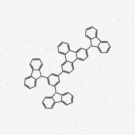 c1ccc2c(c1)c1cc(-c3cc(-n4c5ccccc5c5ccccc54)cc(-n4c5ccccc5c5ccccc54)c3)ccc1c1ccc(-n3c4ccccc4c4ccccc43)cc21